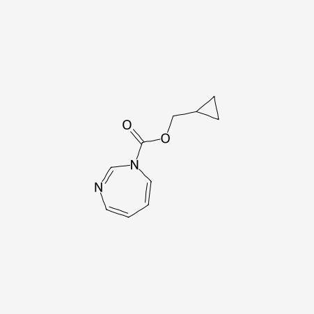 O=C(OCC1CC1)N1C=CC=CN=C1